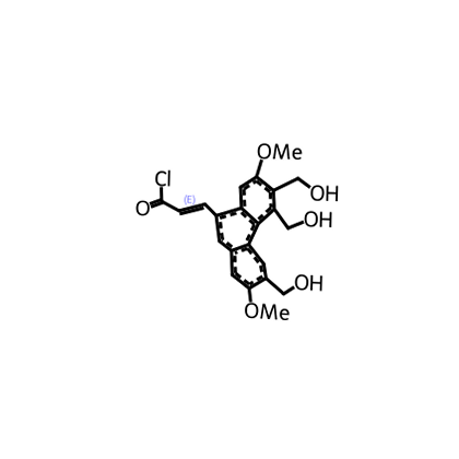 COc1cc2cc(/C=C/C(=O)Cl)c3cc(OC)c(CO)c(CO)c3c2cc1CO